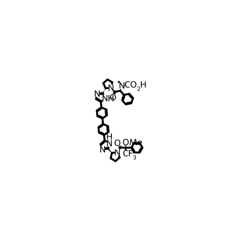 CO[C@](C(=O)N1CCC[C@H]1c1ncc(-c2ccc(-c3ccc(-c4cnc([C@@H]5CCCN5C(=O)[C@@H](c5ccccc5)N(C)C(=O)O)[nH]4)cc3)cc2)[nH]1)(c1ccccc1)C(F)(F)F